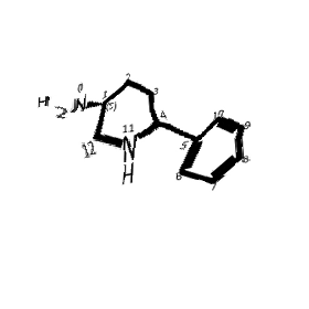 N[C@H]1CCC(c2ccccc2)NC1